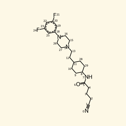 N#CCCCC(=O)NC1CCC(CCN2CCN(c3cc(F)cc(F)c3)CC2)CC1